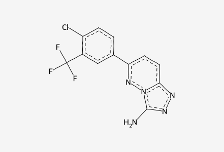 Nc1nnc2ccc(-c3ccc(Cl)c(C(F)(F)F)c3)nn12